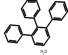 O.c1ccc(-c2cccc(-c3ccccc3)c2-c2ccccc2)cc1